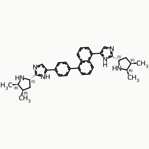 C[C@@H]1C[C@@H](c2ncc(-c3ccc(-c4cccc5c(-c6cnc([C@@H]7C[C@@H](C)[C@@H](C)N7)[nH]6)cccc45)cc3)[nH]2)N[C@@H]1C